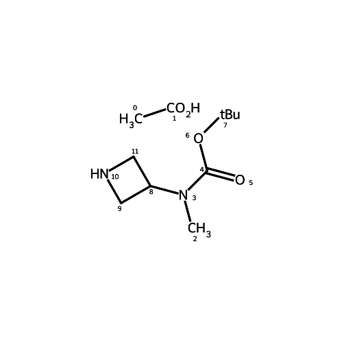 CC(=O)O.CN(C(=O)OC(C)(C)C)C1CNC1